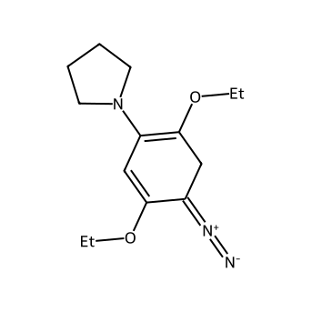 CCOC1=CC(N2CCCC2)=C(OCC)CC1=[N+]=[N-]